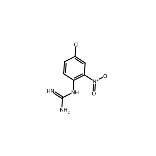 N=C(N)Nc1ccc(Cl)cc1[N+](=O)[O-]